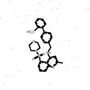 Cc1cc(NCc2ccc(-c3ccccc3C(=O)O)cc2)c2c(S(=O)(=O)N3CCOCC3)cccc2n1